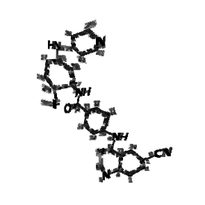 N#Cc1ccc2nccc(Nc3ccc(C(=O)Nc4cc(Nc5ccncc5)ccc4F)cc3)c2c1